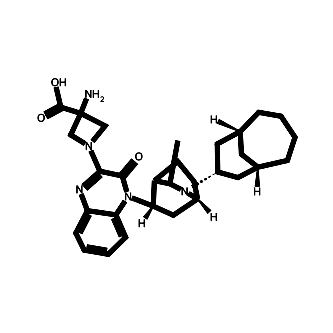 CC1C2CC[C@H](C[C@@H]2n2c(=O)c(N3CC(N)(C(=O)O)C3)nc3ccccc32)N1[C@@H]1C[C@@H]2CCCC[C@@H](C2)C1